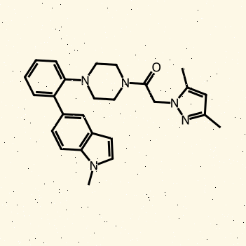 Cc1cc(C)n(CC(=O)N2CCN(c3ccccc3-c3ccc4c(ccn4C)c3)CC2)n1